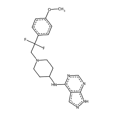 COc1ccc(C(F)(F)CN2CCC(Nc3ncnc4[nH]ncc34)CC2)cc1